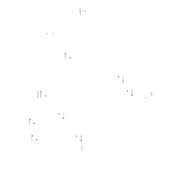 C=CC(=O)N1CCCC(Nc2nncc(Nc3ccc4c(cnn4CC)c3)n2)C1